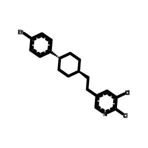 CCc1ccc([C@H]2CC[C@H](CCc3cnc(Cl)c(Cl)c3)CC2)cc1